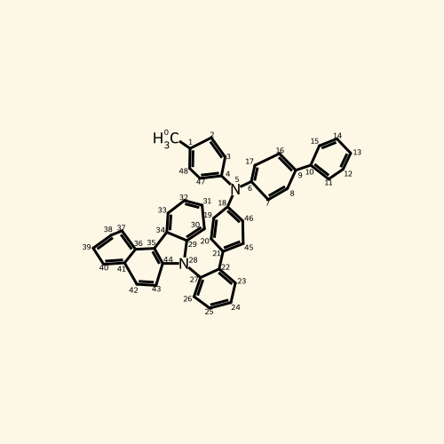 Cc1ccc(N(c2ccc(-c3ccccc3)cc2)c2ccc(-c3ccccc3-n3c4ccccc4c4c5ccccc5ccc43)cc2)cc1